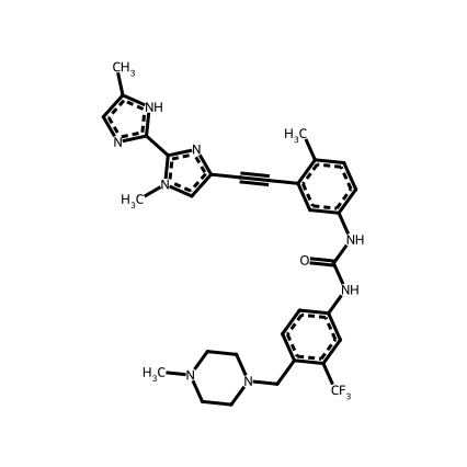 Cc1cnc(-c2nc(C#Cc3cc(NC(=O)Nc4ccc(CN5CCN(C)CC5)c(C(F)(F)F)c4)ccc3C)cn2C)[nH]1